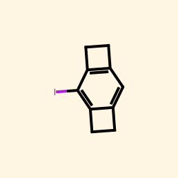 Ic1c2c(cc3c1CC3)CC2